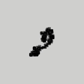 O=C1CCC(N2C(=O)c3ccc(C#CCCCCCN4CCC(n5cc(-c6cnc7cccc(-c8cc(F)c(CN9CCOCC9)c(F)c8)c7n6)cn5)CC4)cc3C2=O)C(=O)N1